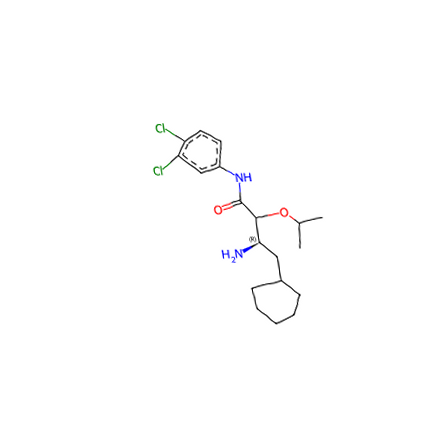 CC(C)OC(C(=O)Nc1ccc(Cl)c(Cl)c1)[C@H](N)CC1CCCCC1